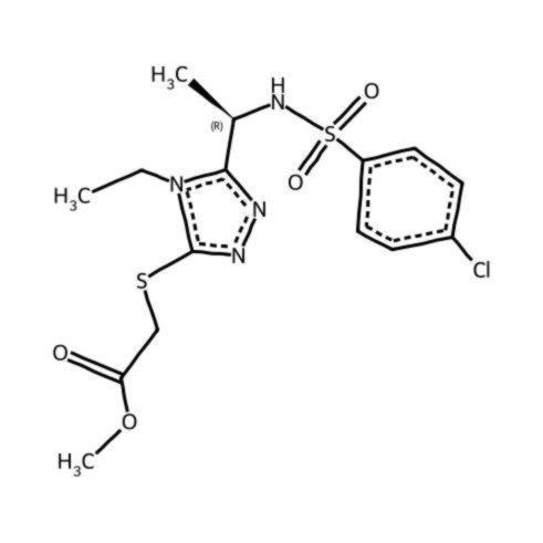 CCn1c(SCC(=O)OC)nnc1[C@@H](C)NS(=O)(=O)c1ccc(Cl)cc1